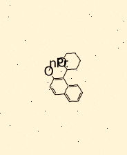 CCCOc1ccc2ccccc2c1[C]1CCCCO1